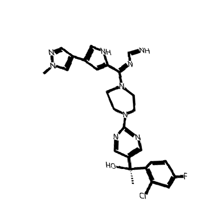 Cn1cc(-c2c[nH]c(/C(=N\C=N)N3CCN(c4ncc([C@](C)(O)c5ccc(F)cc5Cl)cn4)CC3)c2)cn1